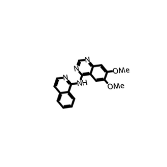 COc1cc2ncnc(Nc3nccc4ccccc34)c2cc1OC